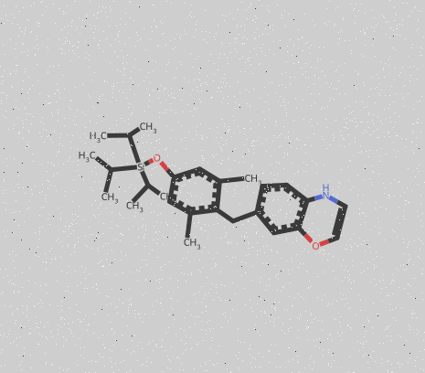 Cc1cc(O[Si](C(C)C)(C(C)C)C(C)C)cc(C)c1Cc1ccc2c(c1)OC=CN2